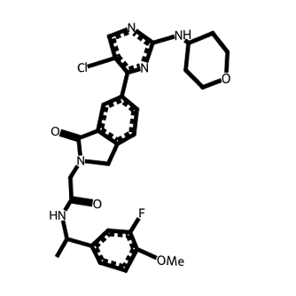 COc1ccc(C(C)NC(=O)CN2Cc3ccc(-c4nc(NC5CCOCC5)ncc4Cl)cc3C2=O)cc1F